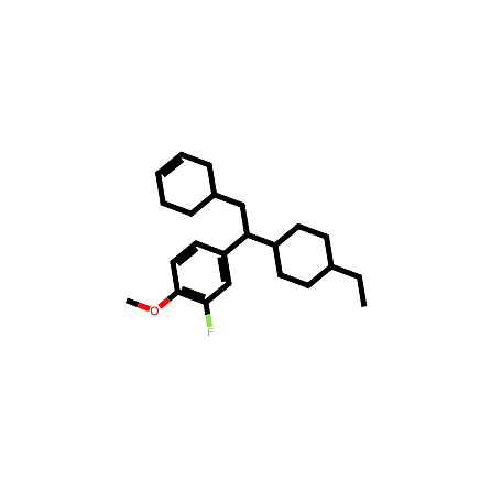 CCC1CCC(C(CC2CC=CCC2)c2ccc(OC)c(F)c2)CC1